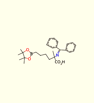 CC(CCCCB1OC(C)(C)C(C)(C)O1)(N=C(c1ccccc1)c1ccccc1)C(=O)O